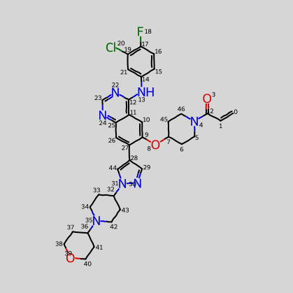 C=CC(=O)N1CCC(Oc2cc3c(Nc4ccc(F)c(Cl)c4)ncnc3cc2-c2cnn(C3CCN(C4CCOCC4)CC3)c2)CC1